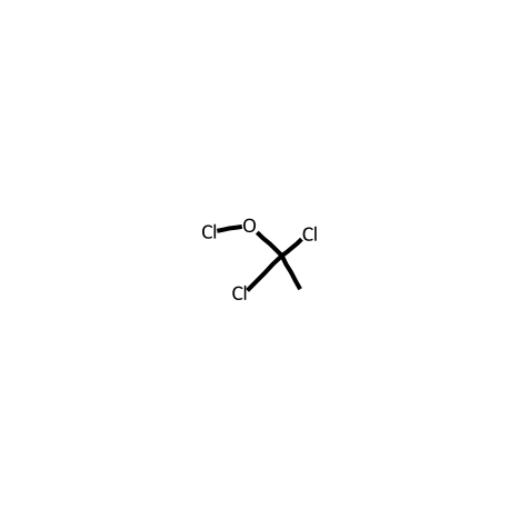 CC(Cl)(Cl)OCl